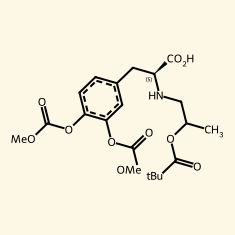 COC(=O)Oc1ccc(C[C@H](NCC(C)OC(=O)C(C)(C)C)C(=O)O)cc1OC(=O)OC